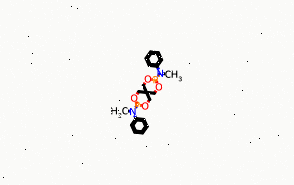 CN(c1ccccc1)P1OCC2(CO1)COP(N(C)c1ccccc1)OC2